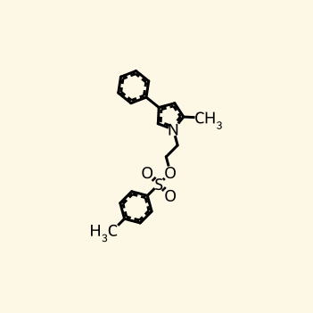 Cc1ccc(S(=O)(=O)OCCn2cc(-c3ccccc3)cc2C)cc1